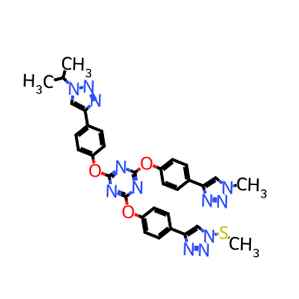 CSn1cc(-c2ccc(Oc3nc(Oc4ccc(-c5cn(C)nn5)cc4)nc(Oc4ccc(-c5cn(C(C)C)nn5)cc4)n3)cc2)nn1